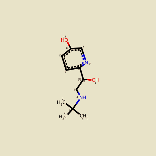 CC(C)(C)NC[C@H](O)c1ccc(O)cn1